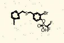 Cc1cccc(CSCc2ccc(OP(=O)(O)C(F)F)c(Br)c2)c1